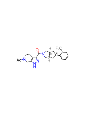 CC(=O)N1CCc2c(C(=O)N3C[C@H]4C[C@@H](c5ccccc5C(F)(F)F)C[C@H]4C3)n[nH]c2C1